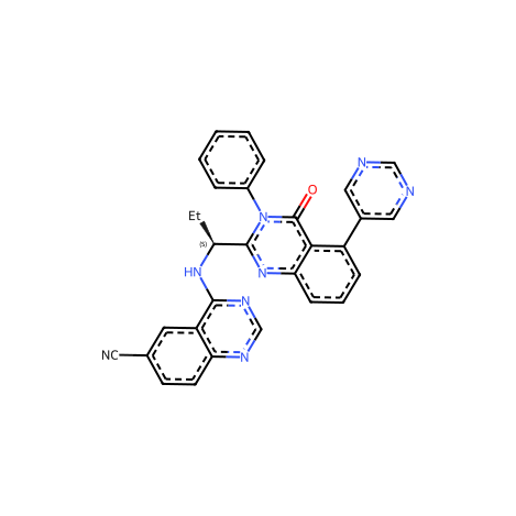 CC[C@H](Nc1ncnc2ccc(C#N)cc12)c1nc2cccc(-c3cncnc3)c2c(=O)n1-c1ccccc1